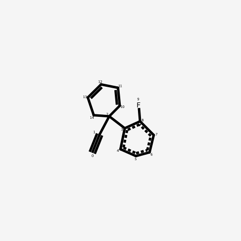 C#CC1(c2ccccc2F)C=CC=CC1